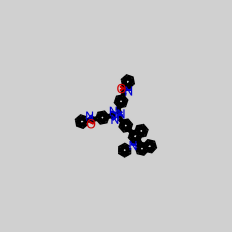 c1ccc(-n2c3ccc4ccccc4c3c3c4ccccc4c(-c4ccc(-c5nc(-c6ccc(-c7nc8ccccc8o7)cc6)nc(-c6ccc(-c7nc8ccccc8o7)cc6)n5)cc4)cc32)cc1